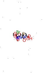 CON=C(C(=O)NC1C(=O)N2C(C(=O)O)=CCS[C@@H]12)C1(CBr)OCCO1